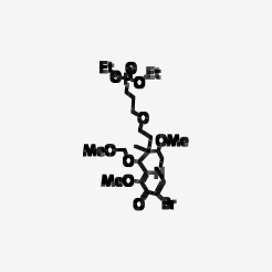 CCOP(=O)(CCCOCCC1(C)C(OC)Cn2cc(Br)c(=O)c(OC)c2C1OCOC)OCC